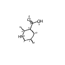 CC1CNC(C)C(C(=O)O)C1